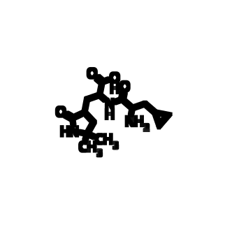 CC1(C)CC(CC(NC(=O)C(N)CC2CC2)C(=O)O)C(=O)N1